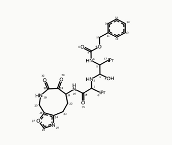 CC(C)C(NC(O)C(NC(=O)OCc1ccccc1)C(C)C)C(=O)NC1CCc2ncoc2CNC(=O)C1=O